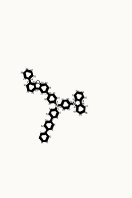 c1ccc(-c2ccc(-c3ccc(N(c4ccc(-c5ccc6oc7c(-c8ccccc8)cccc7c6c5)cc4)c4ccc(-n5c6ccccc6c6ccccc65)cc4)cc3)cc2)cc1